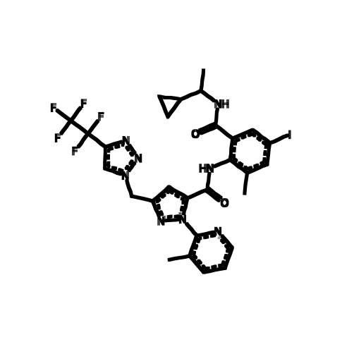 Cc1cccnc1-n1nc(Cn2cc(C(F)(F)C(F)(F)F)nn2)cc1C(=O)Nc1c(C)cc(I)cc1C(=O)NC(C)C1CC1